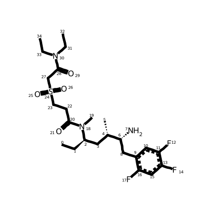 CC[C@H](C[C@H](C)[C@H](N)Cc1cc(F)c(F)cc1F)N(C)C(=O)CCS(=O)(=O)CC(=O)N(CC)CC